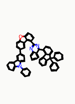 c1ccc(-n2c3ccccc3c3cc(-c4ccc5oc6cccc(-c7nc(-c8cccc9c8-c8ccccc8C9(c8ccccc8)c8ccccc8)c8ccccc8n7)c6c5c4)ccc32)cc1